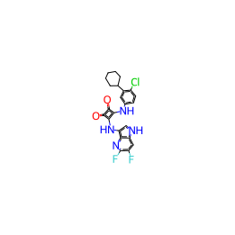 O=c1c(Nc2ccc(Cl)c(C3CCCCC3)c2)c(Nc2c[nH]c3cc(F)c(F)nc23)c1=O